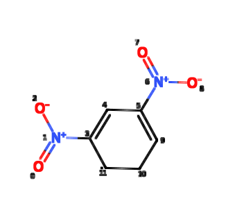 O=[N+]([O-])C1=CC([N+](=O)[O-])=CC[CH]1